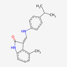 Cc1cccc2c1C(=CNc1ccc(C(C)C)cc1)C(=O)N2